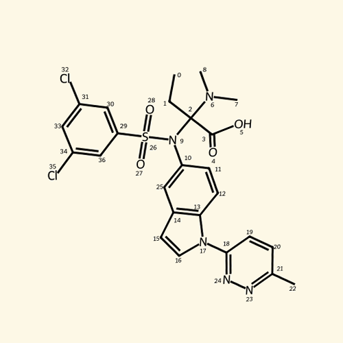 CCC(C(=O)O)(N(C)C)N(c1ccc2c(ccn2-c2ccc(C)nn2)c1)S(=O)(=O)c1cc(Cl)cc(Cl)c1